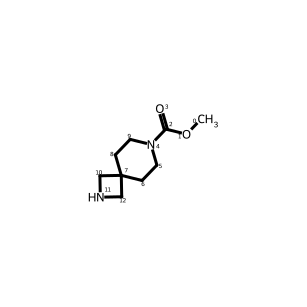 COC(=O)N1CCC2(CC1)CNC2